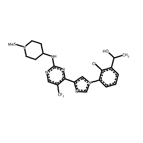 CSN1CCC(Nc2ncc(C(F)(F)F)c(-c3cn(-c4cccc(C(C)O)c4Cl)cn3)n2)CC1